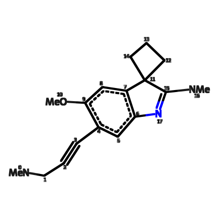 CNCC#Cc1cc2c(cc1OC)C1(CCC1)C(NC)=N2